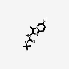 Cc1c(NC(=O)OC(C)(C)C)nc2ccc(Cl)cn12